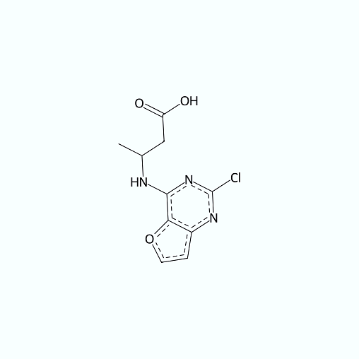 CC(CC(=O)O)Nc1nc(Cl)nc2ccoc12